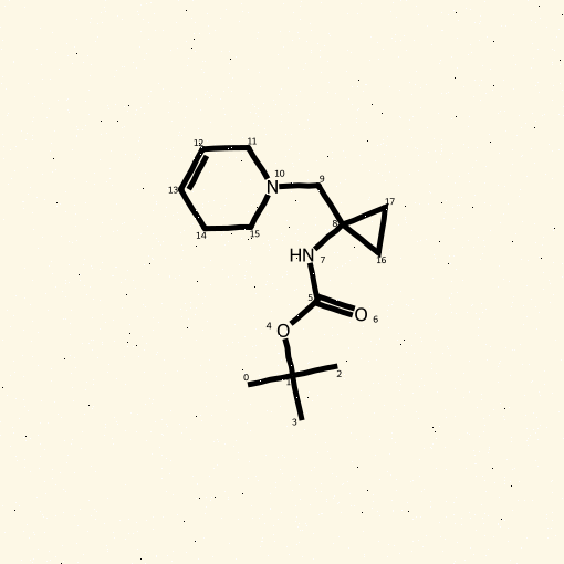 CC(C)(C)OC(=O)NC1(CN2CC=CCC2)CC1